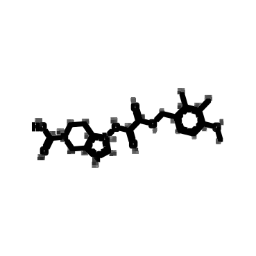 COc1ccc(COC(=O)C(=O)On2cnc3c2CCN(C(=O)O)C3)c(C)c1C